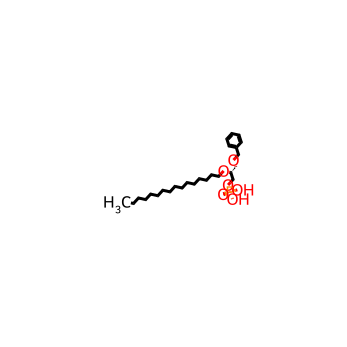 CCCCCCCCCCCCCCCCO[C@H](COCc1ccccc1)COP(=O)(O)O